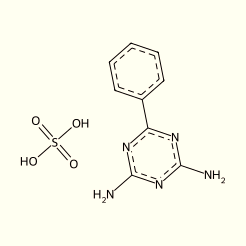 Nc1nc(N)nc(-c2ccccc2)n1.O=S(=O)(O)O